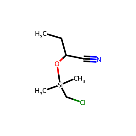 CCC(C#N)O[Si](C)(C)CCl